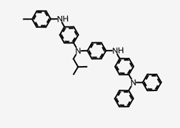 Cc1ccc(Nc2ccc(N(CC(C)C)c3ccc(Nc4ccc(N(c5ccccc5)c5ccccc5)cc4)cc3)cc2)cc1